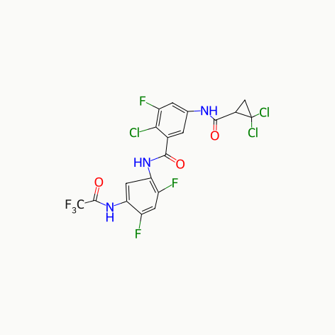 O=C(Nc1cc(NC(=O)C(F)(F)F)c(F)cc1F)c1cc(NC(=O)C2CC2(Cl)Cl)cc(F)c1Cl